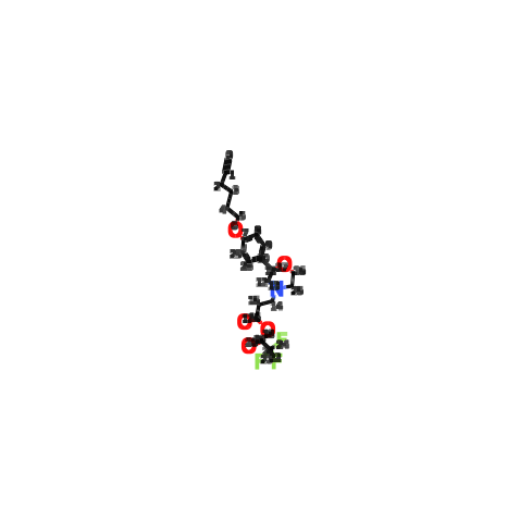 C#CCCCCOc1ccc(C2CN(CCC(=O)OC(=O)C(F)(F)F)CCO2)cc1